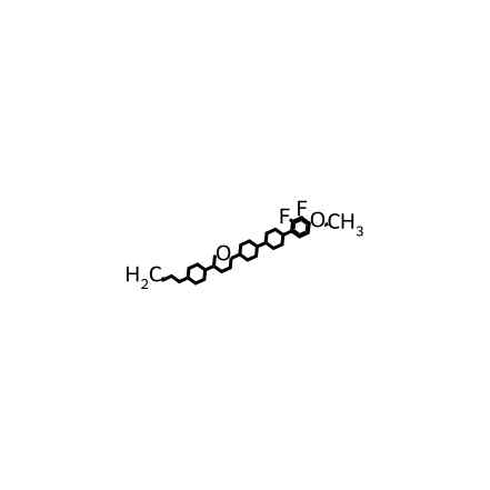 C=CCCC1CCC(C2CCC(C3CCC(C4CCC(c5ccc(OCC)c(F)c5F)CC4)CC3)OC2)CC1